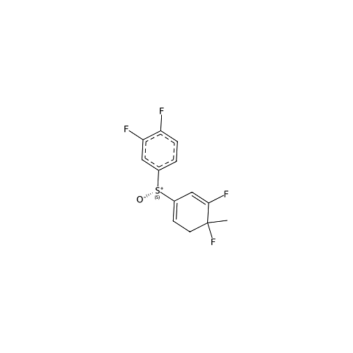 CC1(F)CC=C([S@+]([O-])c2ccc(F)c(F)c2)C=C1F